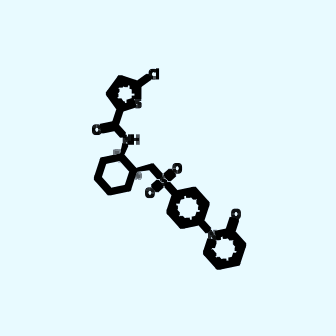 O=C(N[C@@H]1CCCC[C@@H]1CS(=O)(=O)c1ccc(-n2ccccc2=O)cc1)c1ccc(Cl)s1